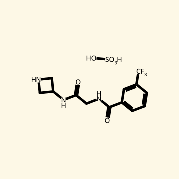 O=C(CNC(=O)c1cccc(C(F)(F)F)c1)NC1CNC1.O=S(=O)(O)O